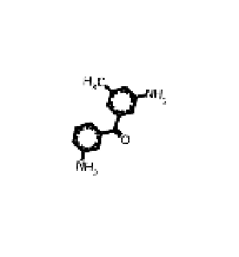 Cc1cc(N)cc(C(=O)c2cccc(N)c2)c1